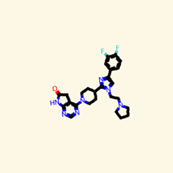 O=C1Cc2c(ncnc2N2CCC(c3nc(-c4ccc(F)c(F)c4)cn3CCN3CCCC3)CC2)N1